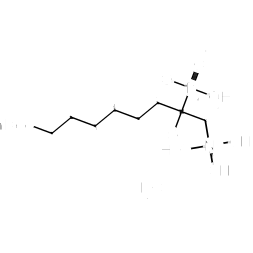 CCCCCCCCCCCCCCCCC(O)(C[N+](C)(C)C)P(=O)(O)O.O